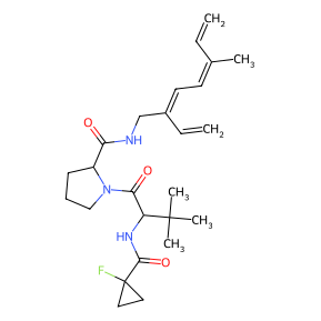 C=C/C(C)=C\C=C(/C=C)CNC(=O)C1CCCN1C(=O)C(NC(=O)C1(F)CC1)C(C)(C)C